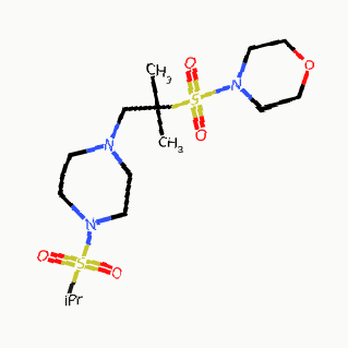 CC(C)S(=O)(=O)N1CCN(CC(C)(C)S(=O)(=O)N2CCOCC2)CC1